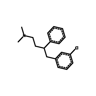 CN(C)CCC(Cc1cccc(Cl)c1)c1ccccc1